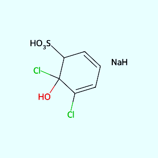 O=S(=O)(O)C1C=CC=C(Cl)C1(O)Cl.[NaH]